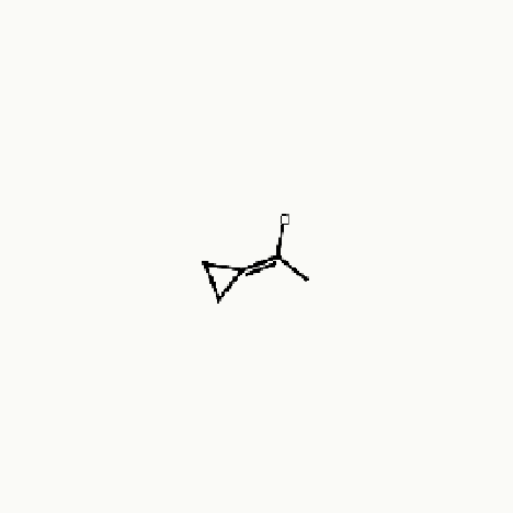 CC(Cl)=C1CC1